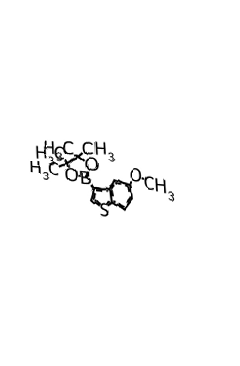 COc1ccc2scc(B3OC(C)(C)C(C)(C)O3)c2c1